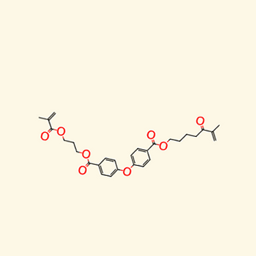 C=C(C)C(=O)CCCCOC(=O)c1ccc(Oc2ccc(C(=O)OCCCOC(=O)C(=C)C)cc2)cc1